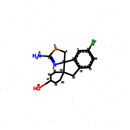 NC1=NC2(CS1)c1cc(Br)ccc1CC21CCC(O)CC1